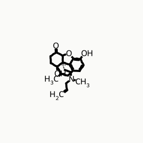 C=CCN(C)CC[C@@]12c3c4ccc(O)c3OC1C(=O)CCC2(O)C(C)C4